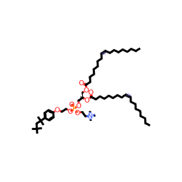 CCCCCCCC/C=C\CCCCCCCC(=O)OC[C@H](COP(=O)(OCCOc1ccc(C(C)(C)CC(C)(C)C)cc1)OCC[N+](C)(C)C)OC(=O)CCCCCCC/C=C\CCCCCCCC